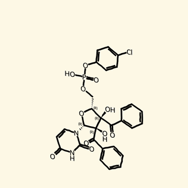 O=C(c1ccccc1)[C@@]1(O)[C@@H](COP(=O)(O)Oc2ccc(Cl)cc2)O[C@@H](n2ccc(=O)[nH]c2=O)[C@@]1(O)C(=O)c1ccccc1